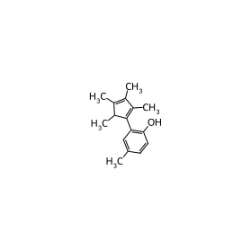 CC1=C(C)C(C)C(c2cc(C)ccc2O)=C1C